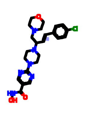 O=C(NO)c1cnc(N2CCN(C(/C=C/c3ccc(Cl)cc3)CN3CCOCC3)CC2)nc1